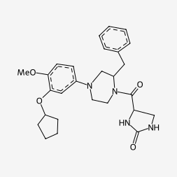 COc1ccc(N2CCN(C(=O)C3CNC(=O)N3)C(Cc3ccccc3)C2)cc1OC1CCCC1